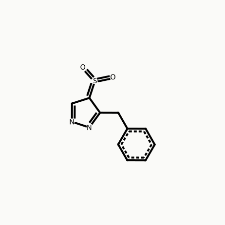 O=S(=O)=C1C=NN=C1Cc1ccccc1